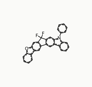 FC1(F)c2cc3oc4ccccc4c3cc2-c2cc3c4ccccc4n(-c4ccccc4)c3cc21